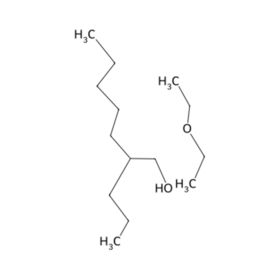 CCCCCC(CO)CCC.CCOCC